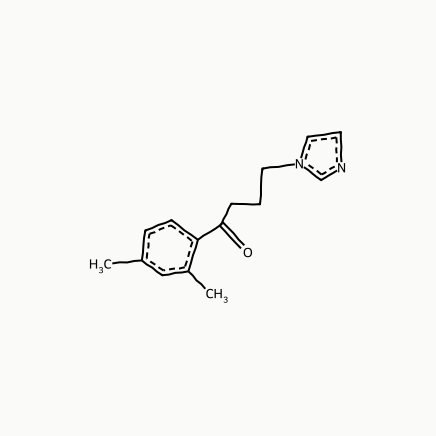 Cc1ccc(C(=O)CCCn2ccnc2)c(C)c1